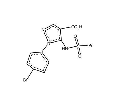 CC(C)S(=O)(=O)Nc1c(C(=O)O)cnn1-c1ccc(Br)cc1